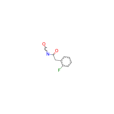 O=C=NC(=O)Cc1ccccc1F